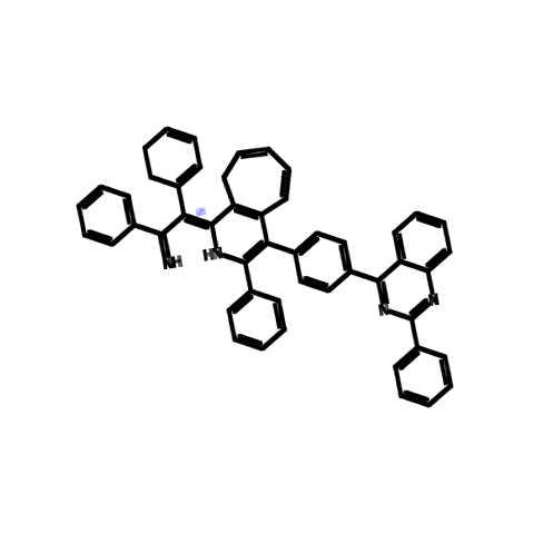 N=C(/C(C1=CC=CCC1)=C1\NC(c2ccccc2)=C(c2ccc(-c3nc(-c4ccccc4)nc4ccccc34)cc2)C2=C1CC=CC=C2)c1ccccc1